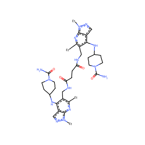 CCc1nc2c(cnn2CC)c(NC2CCN(C(N)=O)CC2)c1CNC(=O)CCC(=O)NCc1c(CC)nc2c(cnn2CC)c1NC1CCN(C(N)=O)CC1